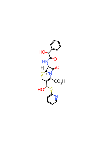 O=C(O)C1=C(C(O)Sc2ccccn2)CS[C@H]2C(NC(=O)C(O)c3ccccc3)C(=O)N12